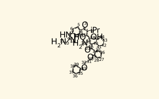 CC(C)C(C(=O)c1ccc2[nH]c(CN)nc2c1)C(O)C(O)C(N)C(C(=O)c1ccccc1OCCOc1ccccc1)C1CCCCC1